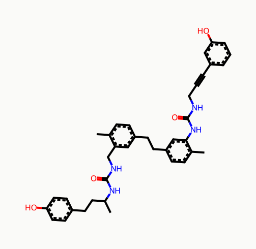 Cc1ccc(CCc2ccc(C)c(NC(=O)NCC#Cc3cccc(O)c3)c2)cc1CNC(=O)NC(C)CCc1ccc(O)cc1